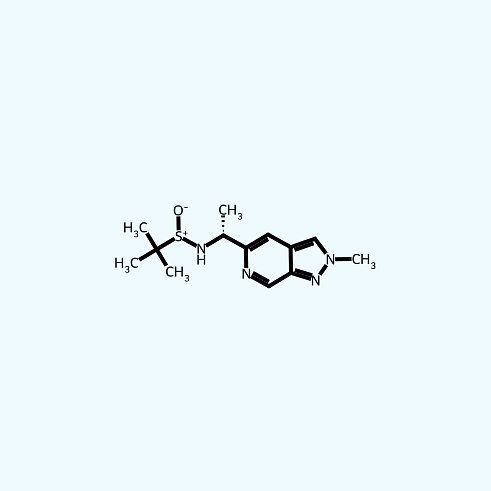 C[C@@H](N[S+]([O-])C(C)(C)C)c1cc2cn(C)nc2cn1